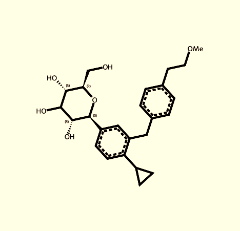 COCCc1ccc(Cc2cc([C@@H]3O[C@H](CO)[C@@H](O)C(O)[C@H]3O)ccc2C2CC2)cc1